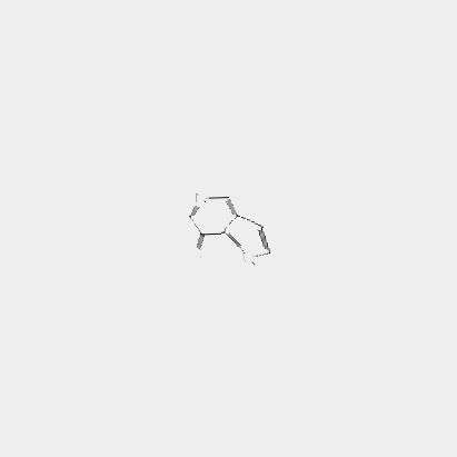 O=C1C=N[C]=C2C=CN=C12